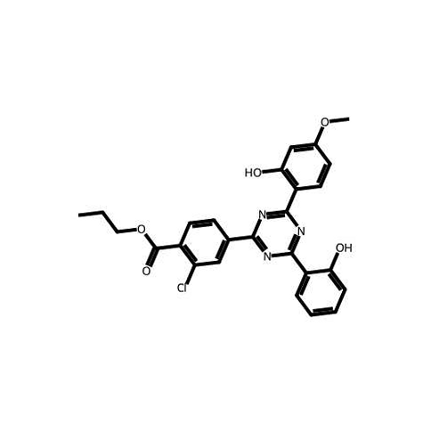 CCCOC(=O)c1ccc(-c2nc(-c3ccccc3O)nc(-c3ccc(OC)cc3O)n2)cc1Cl